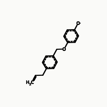 C=CCc1ccc(COc2ccc([O])cc2)cc1